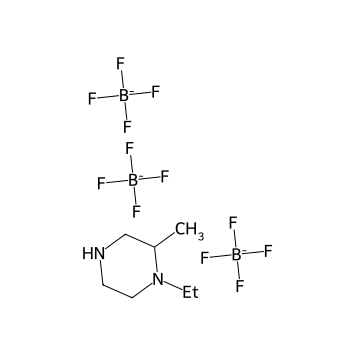 CCN1CCNCC1C.F[B-](F)(F)F.F[B-](F)(F)F.F[B-](F)(F)F